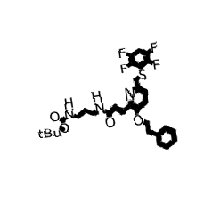 CC(C)(C)OC(=O)NCCCNC(=O)C=Cc1nc(CSc2c(F)c(F)cc(F)c2F)ccc1OCCc1ccccc1